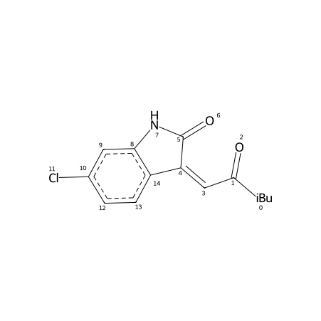 CCC(C)C(=O)C=C1C(=O)Nc2cc(Cl)ccc21